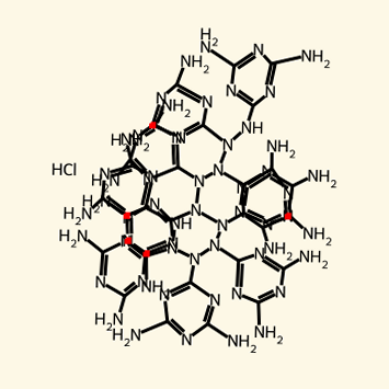 Cl.Nc1nc(N)nc(NN(c2nc(N)nc(N)n2)N(c2nc(N)nc(N)n2)N(c2nc(N)nc(N)n2)N(c2nc(N)nc(N)n2)N(c2nc(N)nc(N)n2)N(c2nc(N)nc(N)n2)N(c2nc(N)nc(N)n2)N(Nc2nc(N)nc(N)n2)c2nc(N)nc(N)n2)n1